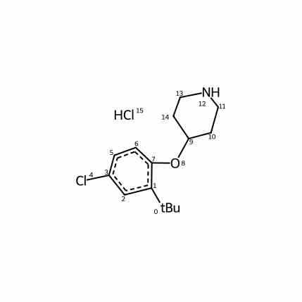 CC(C)(C)c1cc(Cl)ccc1OC1CCNCC1.Cl